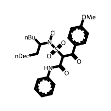 CCCCCCCCCCCC(CCCC)N(Cl)S(=O)(=O)C(C(=O)Nc1ccccc1)C(=O)c1ccc(OC)cc1